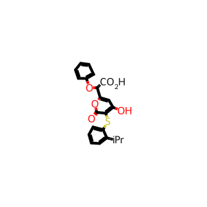 CC(C)c1ccccc1Sc1c(O)cc(C(Oc2ccccc2)C(=O)O)oc1=O